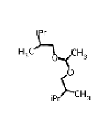 C[C](OCC(C)C(C)C)OCC(C)C(C)C